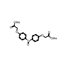 COC(=O)COc1ccc([Te](=O)c2ccc(OCC(=O)OC)cc2)cc1